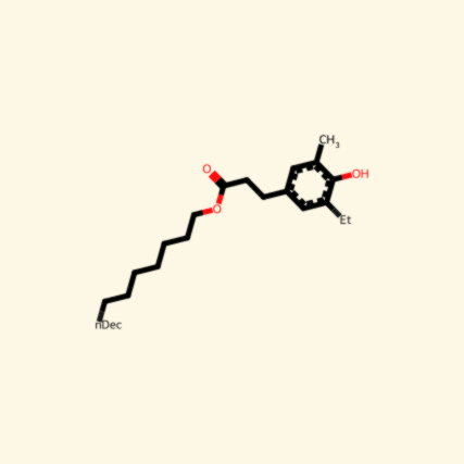 CCCCCCCCCCCCCCCCCOC(=O)CCc1cc(C)c(O)c(CC)c1